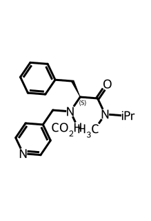 CC(C)N(C)C(=O)[C@H](Cc1ccccc1)N(Cc1ccncc1)C(=O)O